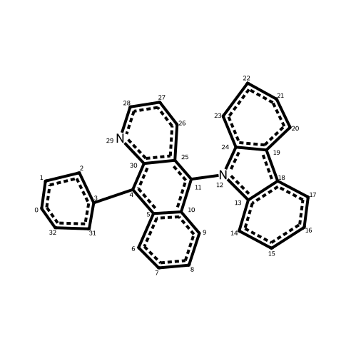 c1ccc(-c2c3ccccc3c(-n3c4ccccc4c4ccccc43)c3cccnc23)cc1